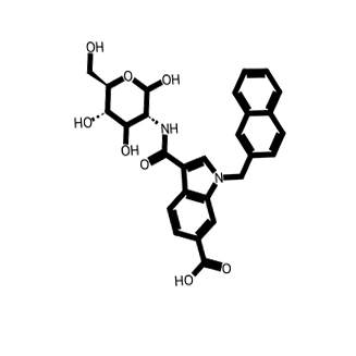 O=C(O)c1ccc2c(C(=O)N[C@H]3C(O)O[C@H](CO)[C@@H](O)C3O)cn(Cc3ccc4ccccc4c3)c2c1